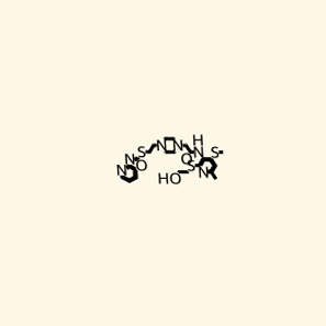 CSc1cc(C)nc(SCCO)c1NC(=O)CN1CCN(CCSc2nc3ncccc3o2)CC1